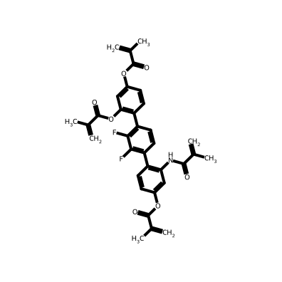 C=C(C)C(=O)Nc1cc(OC(=O)C(=C)C)ccc1-c1ccc(-c2ccc(OC(=O)C(=C)C)cc2OC(=O)C(=C)C)c(F)c1F